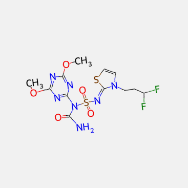 COc1nc(OC)nc(N(C(N)=O)S(=O)(=O)N=c2sccn2CCC(F)F)n1